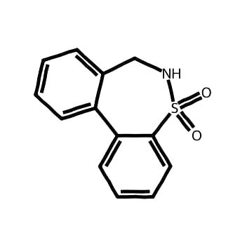 O=S1(=O)NCc2ccccc2-c2ccccc21